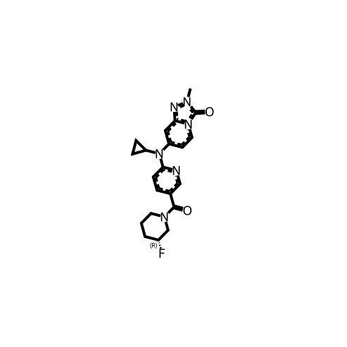 Cn1nc2cc(N(c3ccc(C(=O)N4CCC[C@@H](F)C4)cn3)C3CC3)ccn2c1=O